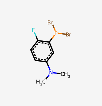 CN(C)c1ccc(F)c(P(Br)Br)c1